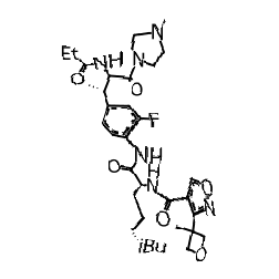 CCC(=O)N[C@@H](C(=O)N1CCN(C)CC1)[C@@H](C)c1ccc(NC(=O)[C@H](CCC[C@@H](C)CC)NC(=O)c2conc2C2(C)COC2)c(F)c1